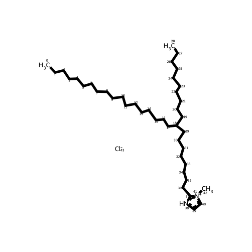 CCCCCCCCCCCCCCCCCCC(CCCCCCCCCC)CCCCCCCCc1[nH]cc[n+]1C.[Cl-]